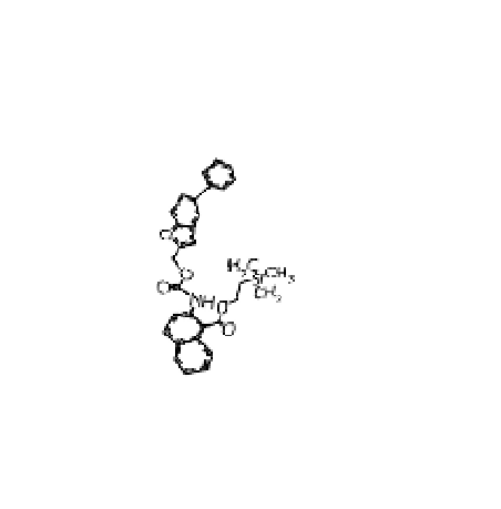 C[Si](C)(C)CCOC(=O)c1c(NC(=O)OCc2cc3cc(-c4ccccc4)ccc3o2)ccc2ccccc12